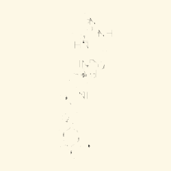 O=C(COc1ccc(Cl)c(F)c1)NC12CC(C1)[C@@H](NC(=O)C1CNC3NCCCC3N1)C2